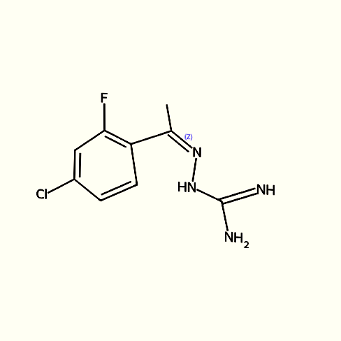 C/C(=N/NC(=N)N)c1ccc(Cl)cc1F